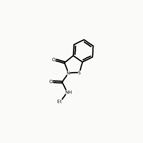 CCNC(=O)n1sc2ccccc2c1=O